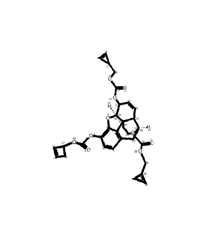 O=C(Oc1ccc2c3c1O[C@H]1C(OC(=O)OCC4C=C4)C=CC4[C@@H](C2)N(C(=O)OCC2=CC2)CCC341)OC1C=CC1